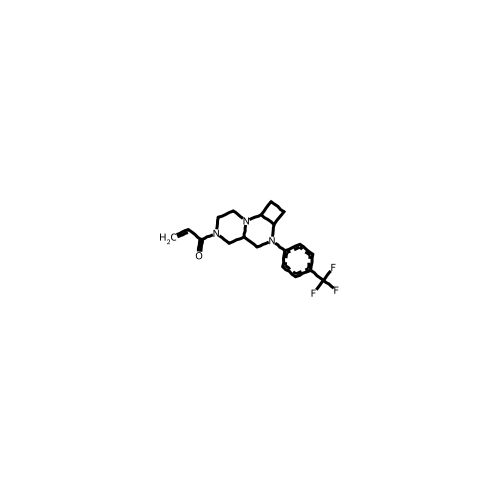 C=CC(=O)N1CCN2C(C1)CN(c1ccc(C(F)(F)F)cc1)C1CCC12